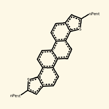 CCCCCc1cc2ccc3c4ccc5c(ccc6cc(CCCCC)sc65)c4ccc3c2s1